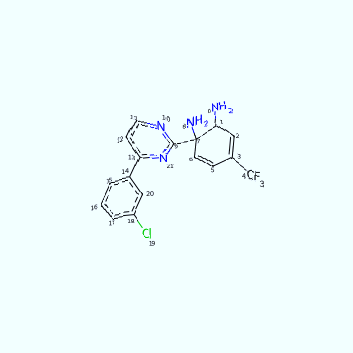 NC1C=C(C(F)(F)F)C=CC1(N)c1nccc(-c2cccc(Cl)c2)n1